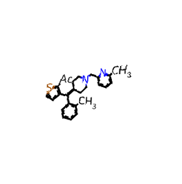 CC(=O)c1sccc1C(=C1CCN(Cc2cccc(C)n2)CC1)c1ccccc1C